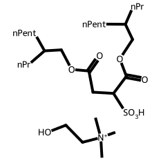 CCCCCC(CCC)COC(=O)CC(C(=O)OCC(CCC)CCCCC)S(=O)(=O)O.C[N+](C)(C)CCO